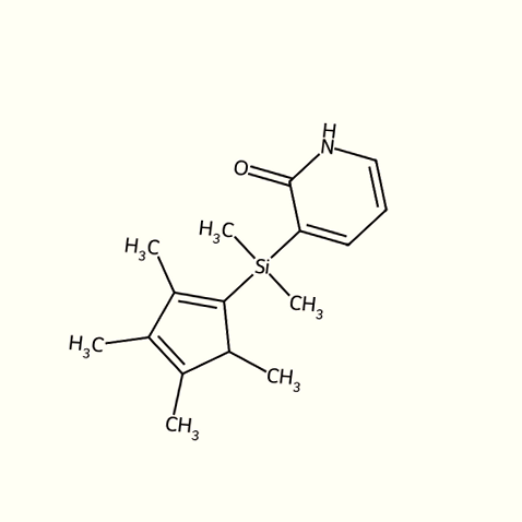 CC1=C(C)C(C)C([Si](C)(C)c2ccc[nH]c2=O)=C1C